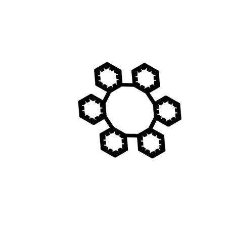 c1ccc2c(c1)-c1ccccc1-c1ccccc1-c1ccccc1-c1ccccc1-c1ccccc1-2